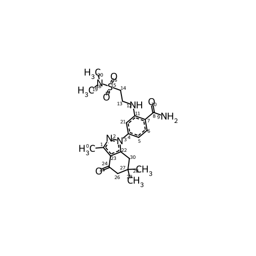 Cc1nn(-c2ccc(C(N)=O)c(NCCS(=O)(=O)N(C)C)c2)c2c1C(=O)CC(C)(C)C2